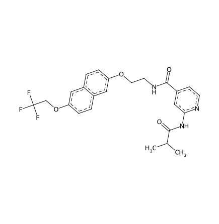 CC(C)C(=O)Nc1cc(C(=O)NCCOc2ccc3cc(OCC(F)(F)F)ccc3c2)ccn1